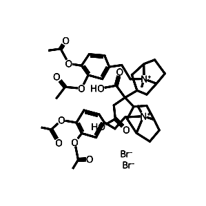 CC(=O)Oc1ccc(CC[N+]2(C)C3CCC2CC(C(CC(=O)O)(C(=O)O)C2CC4CCC(C2)[N+]4(C)CCc2ccc(OC(C)=O)c(OC(C)=O)c2)C3)cc1OC(C)=O.[Br-].[Br-]